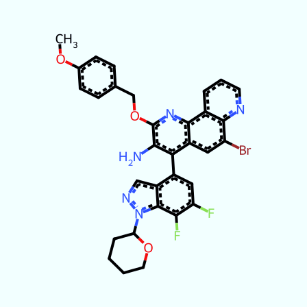 COc1ccc(COc2nc3c(cc(Br)c4ncccc43)c(-c3cc(F)c(F)c4c3cnn4C3CCCCO3)c2N)cc1